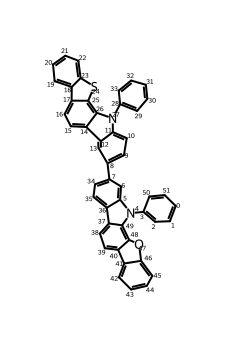 c1ccc(-n2c3cc(-c4ccc5c(c4)c4ccc6c7ccccc7sc6c4n5-c4ccccc4)ccc3c3ccc4c5ccccc5oc4c32)cc1